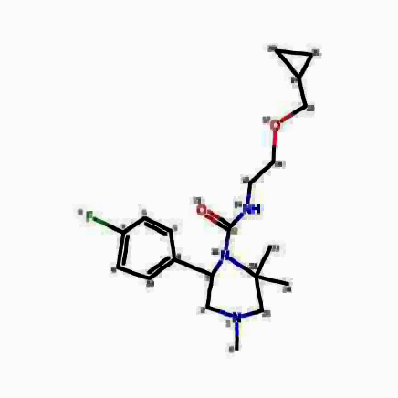 CN1CC(c2ccc(F)cc2)N(C(=O)NCCOCC2CC2)C(C)(C)C1